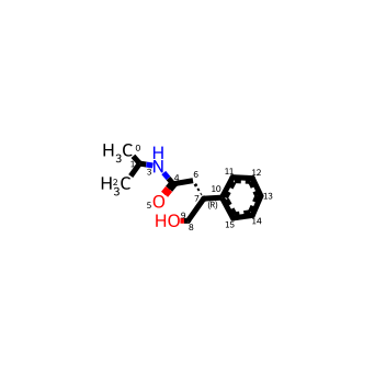 CC(C)NC(=O)C[C@@H](CO)c1ccccc1